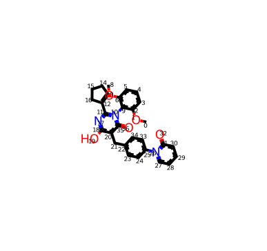 COc1cccc(OC)c1-n1c(C2=CCCC2)nc(O)c(Cc2ccc(-n3ccccc3=O)cc2)c1=O